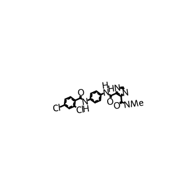 CNC(=O)c1nc[nH]c1C(=O)Nc1ccc(NC(=O)c2ccc(Cl)cc2Cl)cc1